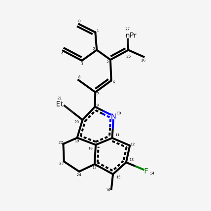 C=CC(C=C)C(/C=C(\C)c1nc2cc(F)c(C)c3c2c(c1CC)CCC3)=C(/C)CCC